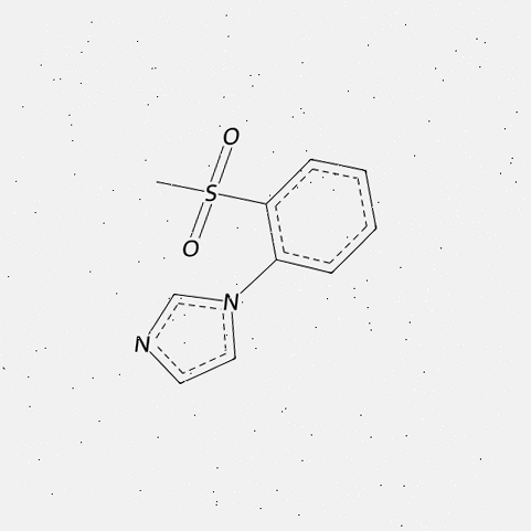 CS(=O)(=O)c1ccccc1-n1ccnc1